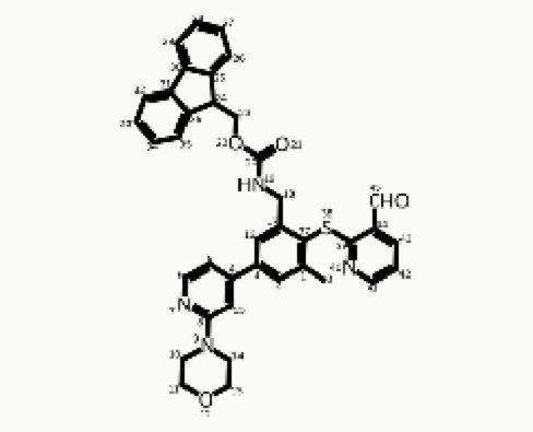 Cc1cc(-c2ccnc(N3CCOCC3)c2)cc(CNC(=O)OCC2c3ccccc3-c3ccccc32)c1Sc1ncccc1C=O